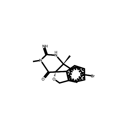 CN1C(=N)N[C@](C)(c2cc(Br)cs2)[C@]2(OCc3ccccc32)C1=O